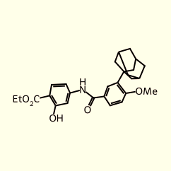 CCOC(=O)c1ccc(NC(=O)c2ccc(OC)c(C34CC5CC(CC(C5)C3)C4)c2)cc1O